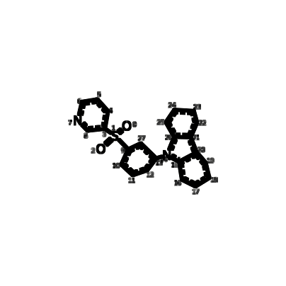 O=S(=O)(c1cccnc1)c1cccc(-n2c3ccccc3c3ccccc32)c1